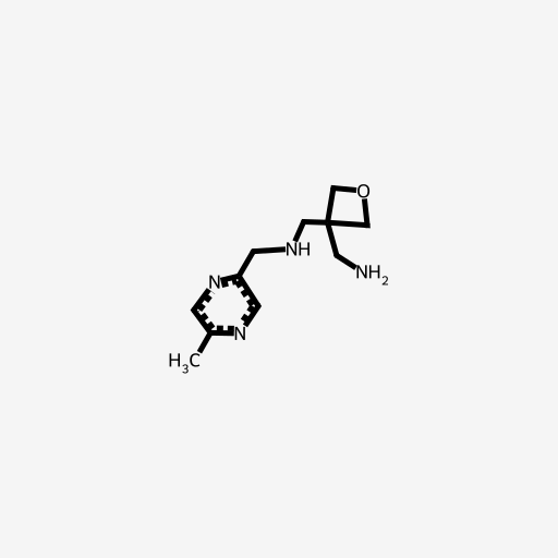 Cc1cnc(CNCC2(CN)COC2)cn1